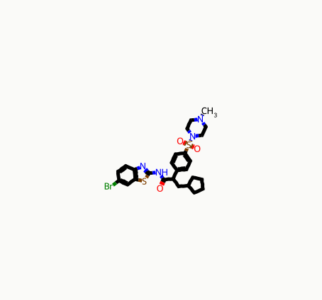 CN1CCN(S(=O)(=O)c2ccc(C(CC3CCCC3)C(=O)Nc3nc4ccc(Br)cc4s3)cc2)CC1